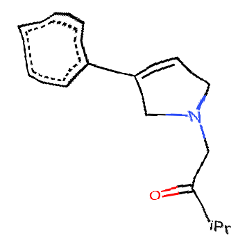 CC(C)C(=O)CN1CC=C(c2ccccc2)C1